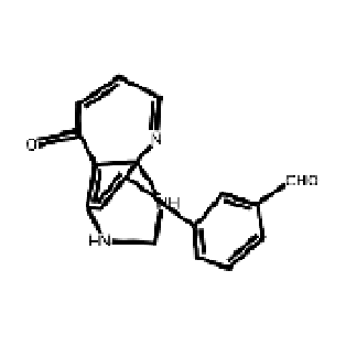 O=Cc1cccc(C2=CC3=C4C(=O)C=CC=NC24NCN3)c1